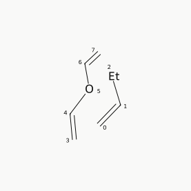 C=CCC.C=COC=C